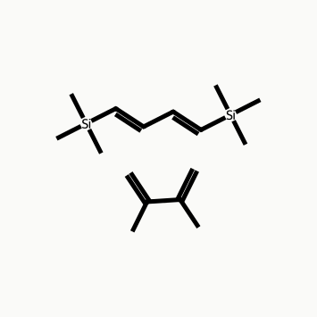 C=C(C)C(=C)C.C[Si](C)(C)C=CC=C[Si](C)(C)C